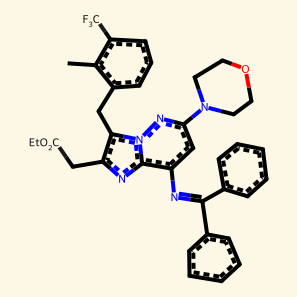 CCOC(=O)Cc1nc2c(N=C(c3ccccc3)c3ccccc3)cc(N3CCOCC3)nn2c1Cc1cccc(C(F)(F)F)c1C